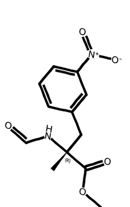 COC(=O)[C@@](C)(Cc1cccc([N+](=O)[O-])c1)NC=O